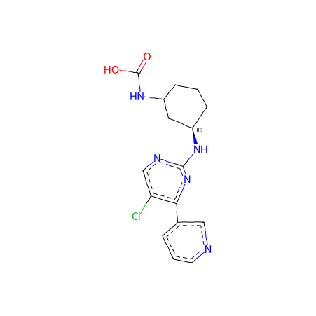 O=C(O)NC1CCC[C@@H](Nc2ncc(Cl)c(-c3cccnc3)n2)C1